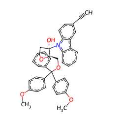 C#Cc1ccc2c(c1)c1ccccc1n2[C@]1(O)CCO[C@@H]1COC(c1ccccc1)(c1ccc(OC)cc1)c1ccc(OC)cc1